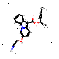 CC#CC(C)OC(=O)c1c2ccccc2n2cc(OCC#N)ccc12